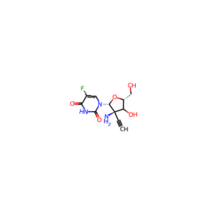 C#C[C@@]1(N)C(O)[C@@H](CO)O[C@H]1n1cc(F)c(=O)[nH]c1=O